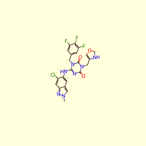 Cn1cc2cc(Nc3nc(=O)n(CC4=COCN4)c(=O)n3Cc3cc(F)c(F)c(F)c3)c(Cl)cc2n1